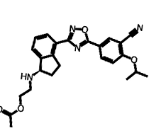 CC(=O)OCCN[C@@H]1CCc2c(-c3noc(-c4ccc(OC(C)C)c(C#N)c4)n3)cccc21